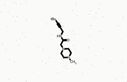 CN1CCN(CC(=O)NCC#CC(C)(C)C)CC1